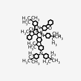 CC(C)(C)c1ccc(N2B3c4cc5oc6ccccc6c5cc4-n4c5ccc(C(C)(C)C)cc5c5c6c(c(c3c54)-c3cc4c(cc32)-c2ccc(N(c3ccc(C(C)(C)C)cc3)c3ccc(C(C)(C)C)cc3)cc2C4(C)C)-c2ccccc2C6(C)C)cc1